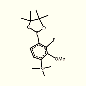 COc1c([Si](C)(C)C)ccc(B2OC(C)(C)C(C)(C)O2)c1F